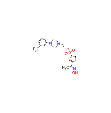 C/C(=N\O)c1ccc(S(=O)(=O)CCCN2CCN(c3cccc(C(F)(F)F)c3)CC2)s1